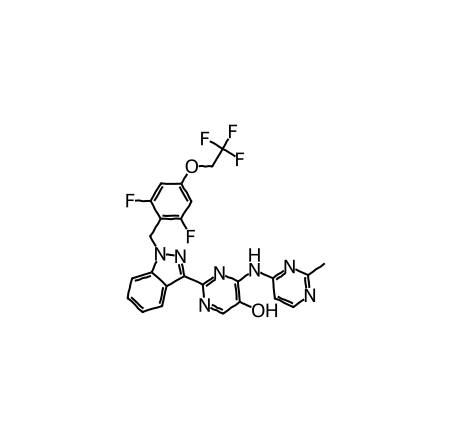 Cc1nccc(Nc2nc(-c3nn(Cc4c(F)cc(OCC(F)(F)F)cc4F)c4ccccc34)ncc2O)n1